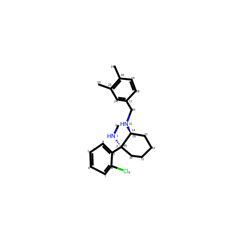 CN[C@@]1(c2ccccc2Cl)CCCC[C@@H]1NCc1ccc(C)c(C)c1